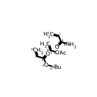 C=CC(=O)OCCCC.C=CC(N)=O.C=COC(C)=O